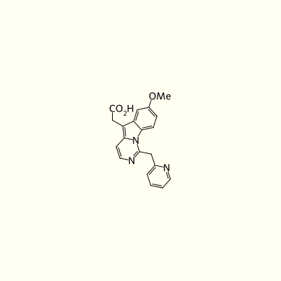 COc1ccc2c(c1)c(CC(=O)O)c1ccnc(Cc3ccccn3)n12